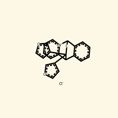 [Cl-].c1ccc2c(c1)C1CC(c3ccoc3)(c3ccoc3)C2c2cccc[n+]21